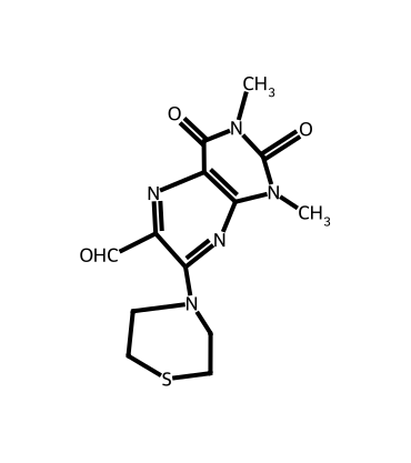 Cn1c(=O)c2nc(C=O)c(N3CCSCC3)nc2n(C)c1=O